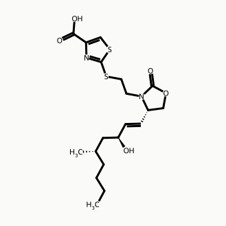 CCCC[C@H](C)C[C@H](O)C=C[C@H]1COC(=O)N1CCSc1nc(C(=O)O)cs1